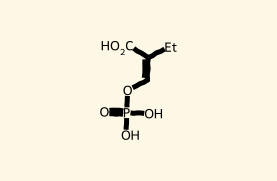 CCC(=COP(=O)(O)O)C(=O)O